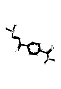 CN(C)/C=C/C(=O)c1ccc(C(=O)N(C)C)cc1